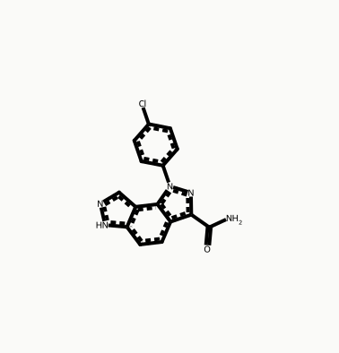 NC(=O)c1nn(-c2ccc(Cl)cc2)c2c1ccc1[nH]ncc12